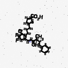 C[C@@H](CCc1ccccc1)[C@H](O)/C=C/[C@H]1CC(F)(F)C(=O)N1CCCc1ccc(C(=O)O)s1